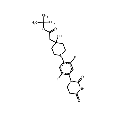 CC(C)(C)OC(=O)CC1(O)CCN(c2cc(F)c(N3CCC(=O)NC3=O)cc2F)CC1